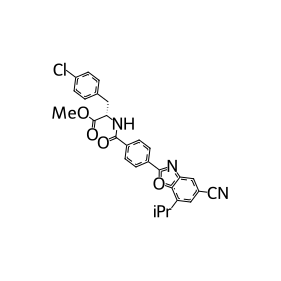 COC(=O)[C@H](Cc1ccc(Cl)cc1)NC(=O)c1ccc(-c2nc3cc(C#N)cc(C(C)C)c3o2)cc1